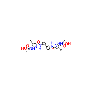 Cc1c(NC(=O)c2cc(C3CC3)c(CN[C@H](C(=O)O)C(C)C)cn2)cccc1-c1cccc(NC(=O)c2cc(C3CC3)c(CN[C@H](C(=O)O)C(C)C)cn2)c1C